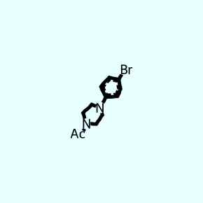 CC(=O)N1CCN(c2ccc(Br)cc2)CC1